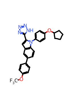 FC(F)(F)Oc1ccc(-c2ccc3c(c2)cc(-c2nnn[nH]2)n3-c2ccc(OC3CCCC3)cc2)cc1